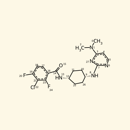 CN(C)c1ccnc(N[C@H]2CC[C@@H](NC(=O)c3ccc(F)c(Cl)c3F)CC2)n1